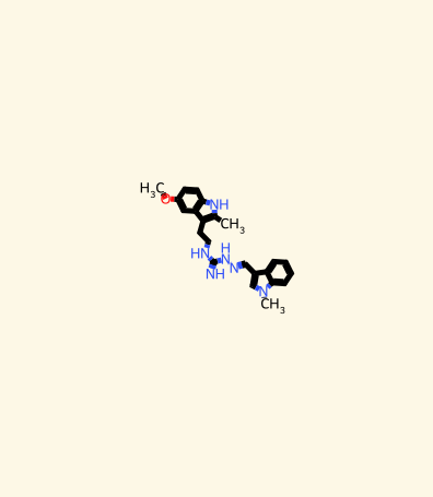 COc1ccc2[nH]c(C)c(CCNC(=N)NN=Cc3cn(C)c4ccccc34)c2c1